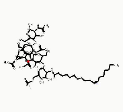 CCCCCC/C=C\CCCCCCCCCC(=O)NC1C(O)[C@H](O)C(COC(C)=O)O[C@H]1O[C@@H]1C(CO)O[C@@H](O[C@@H]2C(CO)O[C@@]3(O[C@@H]4C(CO)O[C@@H](O[C@@H]5C(CO)O[C@@H](O)C(NC(C)=O)C5O)[C@@H](NC(C)=O)C4O)C(C2O)N3C(C)=O)C(NC(C)=O)C1O